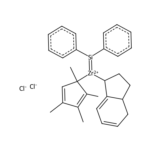 CC1=C[C](C)([Zr+2]([CH]2CCC3CC=CC=C32)=[Si](c2ccccc2)c2ccccc2)C(C)=C1C.[Cl-].[Cl-]